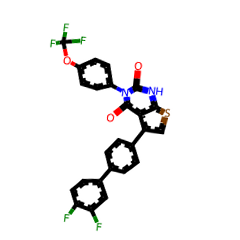 O=c1[nH]c2scc(-c3ccc(-c4ccc(F)c(F)c4)cc3)c2c(=O)n1-c1ccc(OC(F)(F)F)cc1